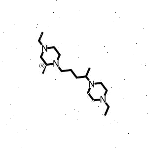 CCN1CCN(C(C)CCCN2CCN(CC)C[C@@H]2C)CC1